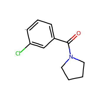 O=C(c1cc[c]c(Cl)c1)N1CCCC1